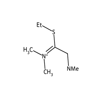 CCSC(CNC)=[N+](C)C